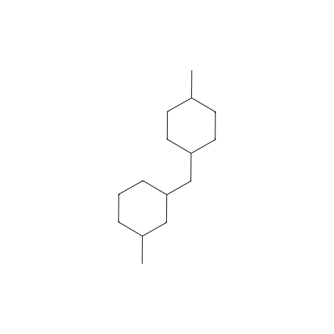 CC1CCC(CC2CCCC(C)C2)CC1